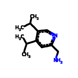 CC(C)c1cnc(CN)cc1C(C)C